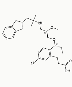 CC[C@@H](OC[C@@H](CNC(C)(C)CC1Cc2ccccc2C1)OC)c1ccc(Cl)cc1CCC(=O)O